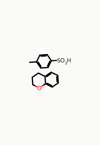 Cc1ccc(S(=O)(=O)O)cc1.c1ccc2c(c1)CCCO2